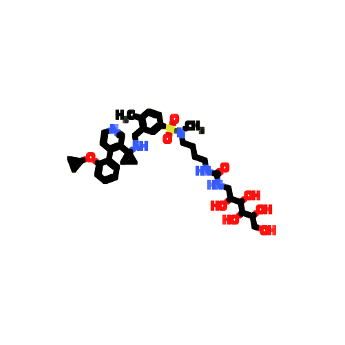 Cc1ccc(S(=O)(=O)N(C)CCCCNC(=O)NCC(O)C(O)C(O)C(O)CO)cc1CNC1(c2cnccc2-c2ccccc2OC2CC2)CC1